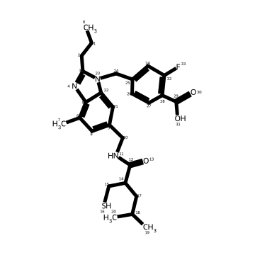 CCCc1nc2c(C)cc(CNC(=O)C(CS)CC(C)C)cc2n1Cc1ccc(C(=O)O)c(F)c1